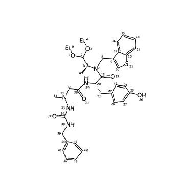 CCOC(OCC)[C@H](C)N(Cc1csc2ccccc12)C(=O)[C@H](Cc1ccc(O)cc1)NC(=O)CN(C)NC(=O)NCc1ccccc1